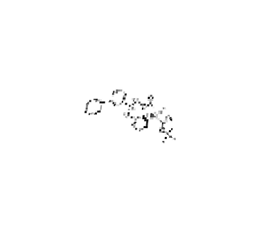 C[C@H](NC(=O)OC(C)(C)C)C(=O)O[C@@H](C)[C@H](Oc1ccccc1)c1cccc(-c2ccccc2)c1